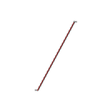 OCCOCCOCCOCCOCCOCCOCCOCCOCCOCCOCCOCCOCCOCCOCCOCCOCCOCCOCCOCCOCCOCCOCCOCCOCCOCCOCCOCCOCCOCCOCCOCCOCCOCCOCCOCCOCCOCCOCCOCCOCCOCCOCCOCCO